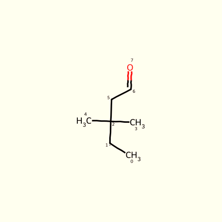 C[CH]C(C)(C)CC=O